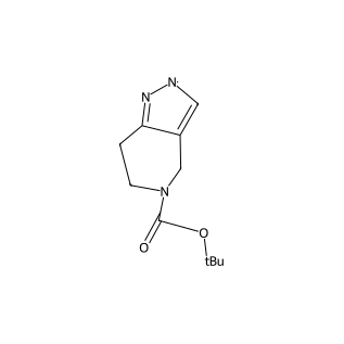 CC(C)(C)OC(=O)N1CCC2=N[N]C=C2C1